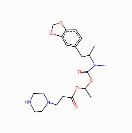 CC(OC(=O)CCN1CCNCC1)OC(=O)N(C)C(C)Cc1ccc2c(c1)OCO2